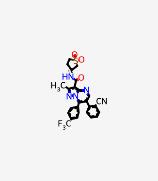 Cc1nn2c(-c3ccc(C(F)(F)F)cc3)c(-c3ccccc3C#N)cnc2c1C(=O)N[C@@H]1CCS(=O)(=O)C1